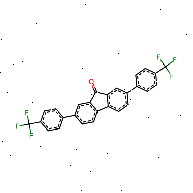 O=C1c2cc(-c3ccc(C(F)(F)F)cc3)ccc2-c2ccc(-c3ccc(C(F)(F)F)cc3)cc21